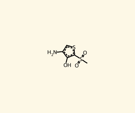 CS(=O)(=O)c1scc(N)c1O